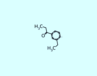 CCC(=O)c1cc[c]c(CC)c1